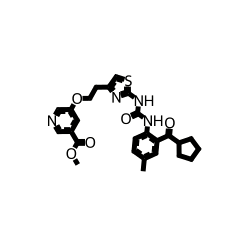 COC(=O)c1cncc(OCCc2csc(NC(=O)Nc3ccc(C)cc3C(=O)C3CCCC3)n2)c1